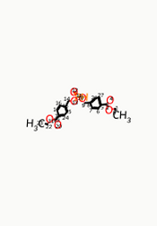 CCOC(=O)c1ccc(CO[PH](=O)OCc2ccc(C(=O)OCC)cc2)cc1